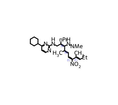 CC/C=C(C)/C(=C\C=C(C)\C(NNC)=C(\CCC)CNc1nccc(C2CCCCC2)n1)[N+](=O)[O-]